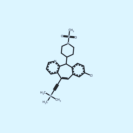 C[Si](C)(C)C#CC1=Cc2cc(Cl)ccc2C(C2CCN(S(C)(=O)=O)CC2)c2ncccc21